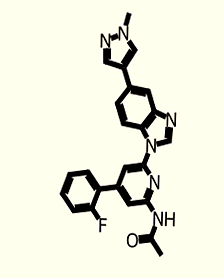 CC(=O)Nc1cc(-c2ccccc2F)cc(-n2cnc3cc(-c4cnn(C)c4)ccc32)n1